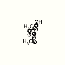 CC1=C(c2cccc(O)c2)[C@@H](c2ccc(OC[C@@H](C)N3CCCC3)cc2)Oc2ccc(O)cc21